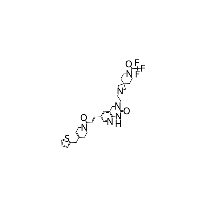 O=C(/C=C/c1cnc2c(c1)CN(CCN1CC3(CCN(C(=O)C(F)(F)F)CC3)C1)C(=O)N2)N1CC=C(Cc2cccs2)CC1